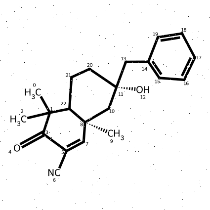 CC1(C)C(=O)C(C#N)=C[C@]2(C)C[C@](O)(Cc3ccccc3)CCC12